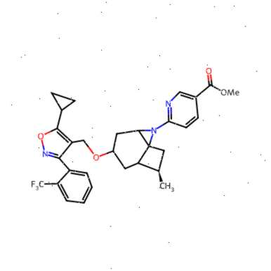 COC(=O)c1ccc(N2C3CC(OCc4c(-c5ccccc5C(F)(F)F)noc4C4CC4)CC4[C@H](C)CC432)nc1